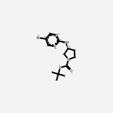 CC(C)(C)OC(=O)N1CC[C@H](Nc2ncc(Br)cn2)C1